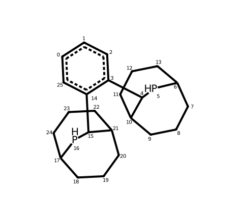 c1ccc(C2PC3CCCC2CCC3)c(C2PC3CCCC2CCC3)c1